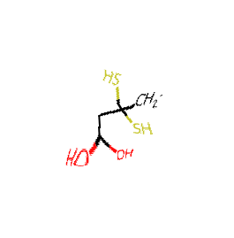 [CH2]C(S)(S)CC(O)O